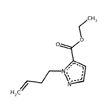 C=CCCn1nccc1C(=O)OCC